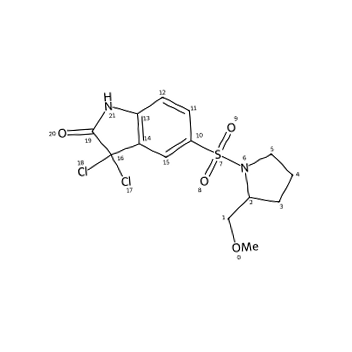 COCC1CCCN1S(=O)(=O)c1ccc2c(c1)C(Cl)(Cl)C(=O)N2